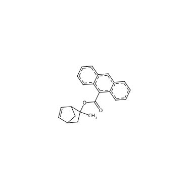 CC1(OC(=O)c2c3ccccc3cc3ccccc23)CC2C=CC1C2